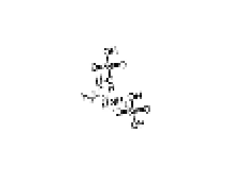 N.N.N.N.O=[Se](=O)(O)O.O=[Se](=O)(O)O